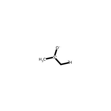 [2H]C[S+](C)[O-]